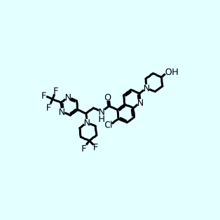 O=C(NCC(c1cnc(C(F)(F)F)nc1)N1CCC(F)(F)CC1)c1c(Cl)ccc2nc(N3CCC(O)CC3)ccc12